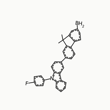 Bc1ccc2c(c1)C(C)(C)c1cc(-c3ccc4c(c3)c3ccccc3n4-c3ccc(F)cc3)ccc1-2